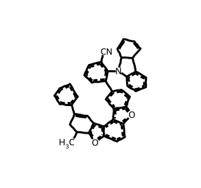 CC1CC(c2ccccc2)=Cc2c1oc1ccc3oc4ccc(-c5cccc(C#N)c5N5c6ccccc6C6C=CC=CC65)cc4c3c21